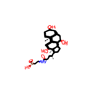 C[C@H](CCC(=O)NCCS(=O)O)C1CCC2C3C(O)CC4CC(O)CC[C@]4(C)C3CC(O)[C@@]21C